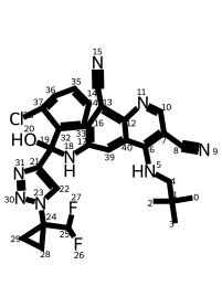 CC(C)(C)CNc1c(C#N)cnc2c(C#N)cc(NC(O)(c3cn(C4(C(F)F)CC4)nn3)c3ccccc3Cl)cc12